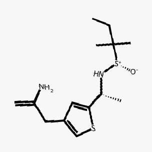 C=C(N)Cc1csc([C@@H](C)N[S@@+]([O-])C(C)(C)CC)c1